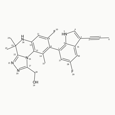 CC#Cc1c[nH]c2c(-c3c(F)cc4c(c3C)-n3c(CO)nnc3C(C)(C)N4)cc(F)cc12